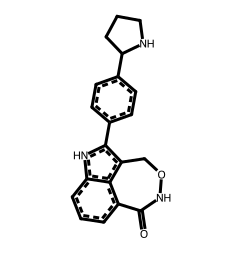 O=C1NOCc2c(-c3ccc(C4CCCN4)cc3)[nH]c3cccc1c23